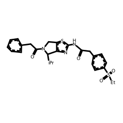 CCS(=O)(=O)c1ccc(CC(=O)Nc2nc3c(s2)CN(C(=O)Cc2ccccc2)C3C(C)C)cc1